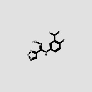 ON=C(Nc1ccc(F)c(C(F)F)c1)c1cnon1